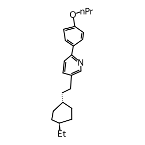 CCCOc1ccc(-c2ccc(CC[C@H]3CC[C@H](CC)CC3)cn2)cc1